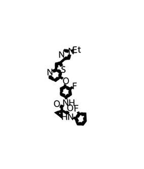 CCn1cnc(-c2cc3nccc(Oc4ccc(NC(=O)C5(C(=O)Nc6ccccc6F)CC5)cc4F)c3s2)c1